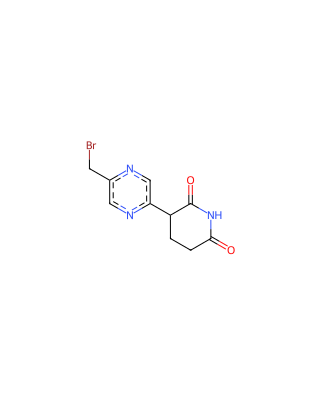 O=C1CCC(c2cnc(CBr)cn2)C(=O)N1